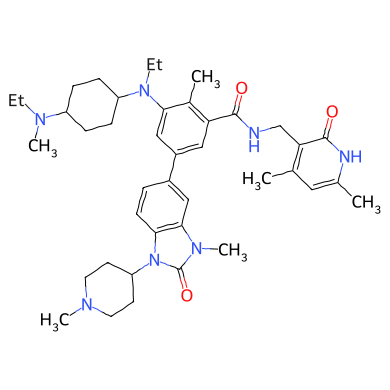 CCN(C)C1CCC(N(CC)c2cc(-c3ccc4c(c3)n(C)c(=O)n4C3CCN(C)CC3)cc(C(=O)NCc3c(C)cc(C)[nH]c3=O)c2C)CC1